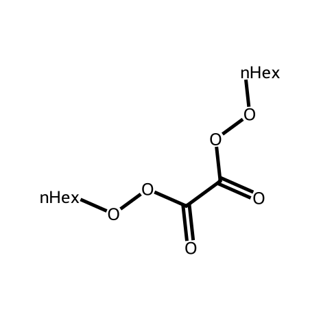 CCCCCCOOC(=O)C(=O)OOCCCCCC